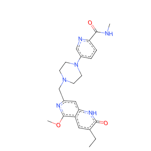 CCc1cc2c(OC)nc(CN3CCN(c4ccc(C(=O)NC)nc4)CC3)cc2[nH]c1=O